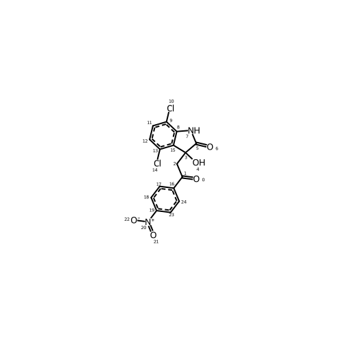 O=C(CC1(O)C(=O)Nc2c(Cl)ccc(Cl)c21)c1ccc([N+](=O)[O-])cc1